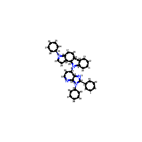 c1ccc(-c2nc3c(-n4c5ccccc5c5ccc6c(ccn6-c6ccccc6)c54)ccnc3n2-c2ccccc2)cc1